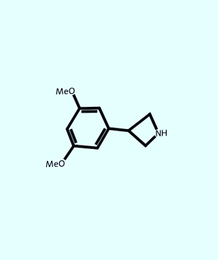 COc1cc(OC)cc(C2CNC2)c1